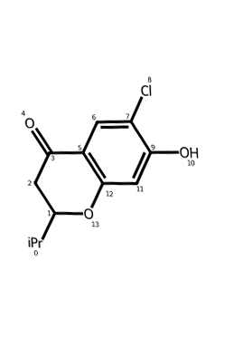 CC(C)C1CC(=O)c2cc(Cl)c(O)cc2O1